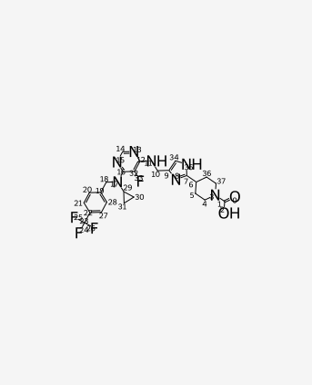 O=C(O)N1CCC(c2nc(CNc3ncnc(N(Cc4ccc(C(F)(F)F)cc4)C4CC4)c3F)c[nH]2)CC1